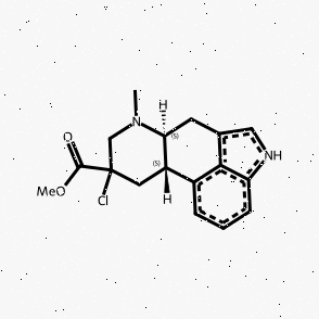 COC(=O)C1(Cl)C[C@H]2c3cccc4[nH]cc(c34)C[C@@H]2N(C)C1